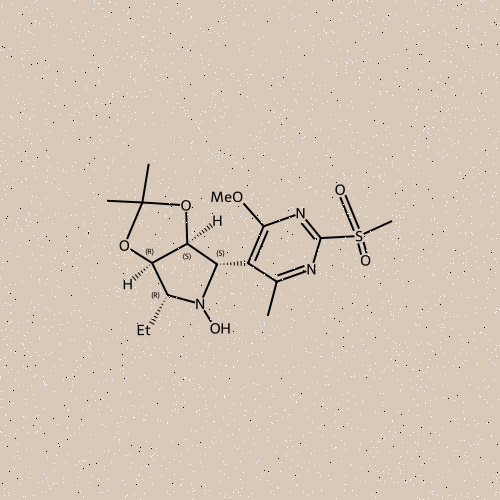 CC[C@@H]1[C@H]2OC(C)(C)O[C@H]2[C@H](c2c(C)nc(S(C)(=O)=O)nc2OC)N1O